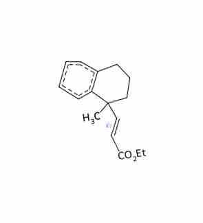 CCOC(=O)/C=C/C1(C)CCCc2ccccc21